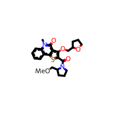 COCC1CCCN1C(=O)c1sc2c(c1OCC1CCCO1)c(=O)n(C)c1ccccc21